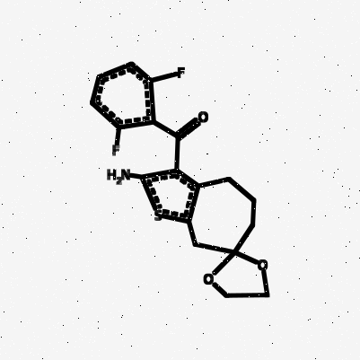 Nc1sc2c(c1C(=O)c1c(F)cccc1F)CCCC1(C2)OCCO1